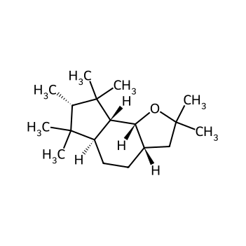 C[C@@H]1C(C)(C)[C@@H]2[C@@H]3OC(C)(C)C[C@@H]3CC[C@H]2C1(C)C